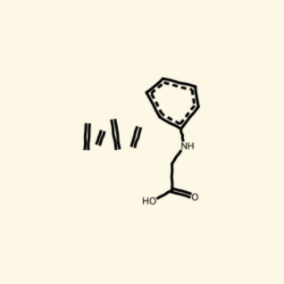 C=C.C=C.C=C.C=C.O=C(O)CNc1ccccc1